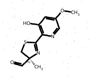 COc1cnc(C2=N[C@@](C)(C=O)CS2)c(O)c1